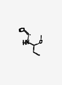 CCC(N[C]=O)OC